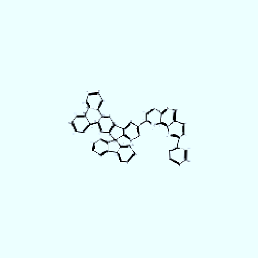 c1ccc(-c2ccc3ccc4ccc(-c5ccc6c(c5)-c5cc7c8ccccc8c8ccccc8c7cc5C65c6ccccc6-c6ccccc65)nc4c3n2)cc1